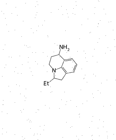 CCC1Cc2cccc3c2N1CCC3N